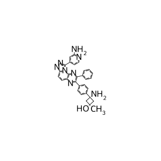 C[C@]1(O)C[C@@](N)(c2ccc(-c3nc4ccc5nnc(-c6ccnc(N)c6)n5c4nc3-c3ccccc3)cc2)C1